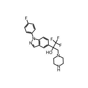 OC(CN1CCNCC1)(c1ccc2c(cnn2-c2ccc(F)cc2)c1)C(F)(F)F